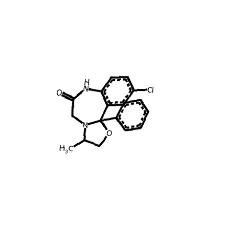 CC1COC2(c3ccccc3)c3cc(Cl)ccc3NC(=O)CN12